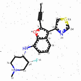 CC#Cc1oc2c(N[C@H]3CCN(C)C[C@H]3F)cccc2c1-c1cscn1